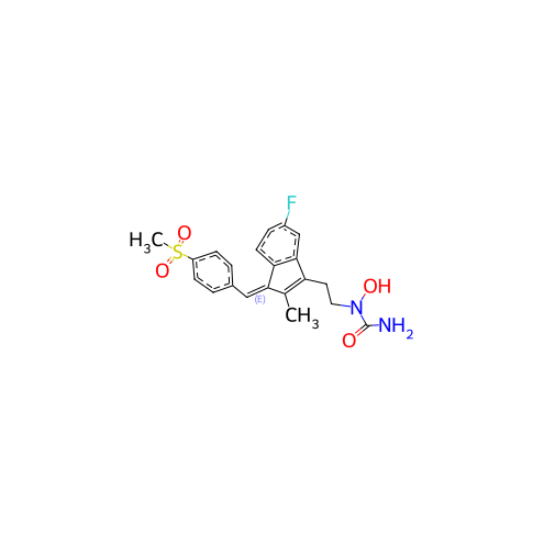 CC1=C(CCN(O)C(N)=O)c2cc(F)ccc2/C1=C\c1ccc(S(C)(=O)=O)cc1